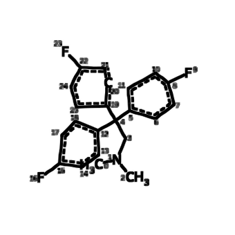 CN(C)CC(c1ccc(F)cc1)(c1ccc(F)cc1)c1ccc(F)cc1